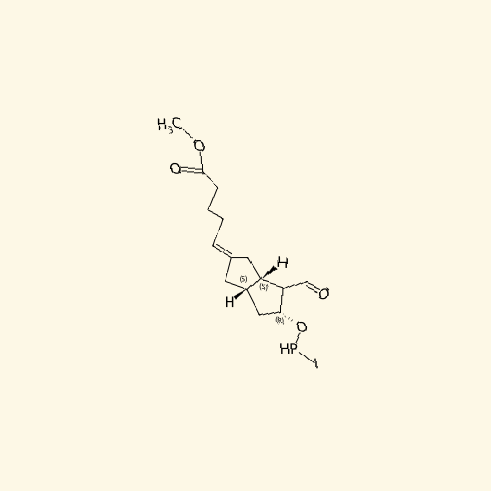 COC(=O)CCCC=C1C[C@H]2C[C@@H](OPI)C(C=O)[C@H]2C1